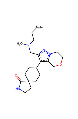 CNCCN(C)Cc1nn2c(c1C1CCC3(CCNC3=O)CC1)COCC2